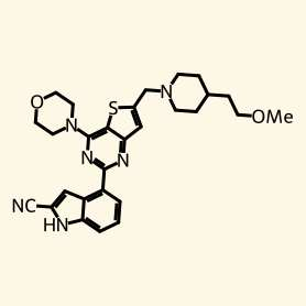 COCCC1CCN(Cc2cc3nc(-c4cccc5[nH]c(C#N)cc45)nc(N4CCOCC4)c3s2)CC1